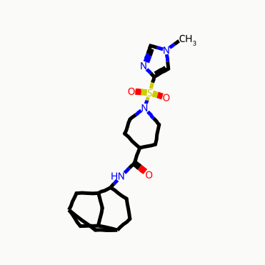 Cn1cnc(S(=O)(=O)N2CCC(C(=O)NC3CCC4CC5CC4CC3C5)CC2)c1